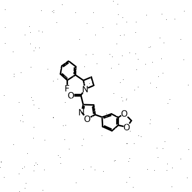 O=C(c1cc(-c2ccc3c(c2)OCO3)on1)N1CCC1c1ccccc1F